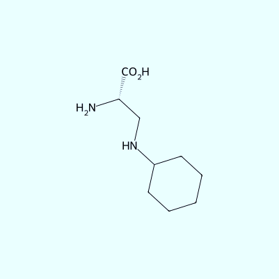 N[C@@H](CNC1CCCCC1)C(=O)O